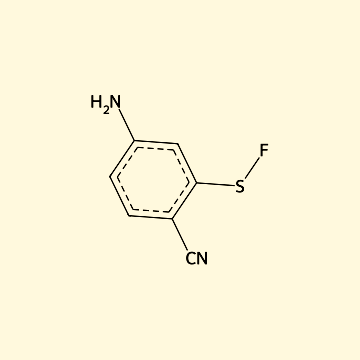 N#Cc1ccc(N)cc1SF